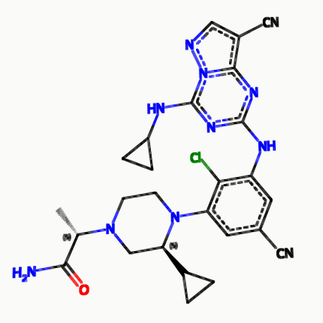 C[C@@H](C(N)=O)N1CCN(c2cc(C#N)cc(Nc3nc(NC4CC4)n4ncc(C#N)c4n3)c2Cl)[C@@H](C2CC2)C1